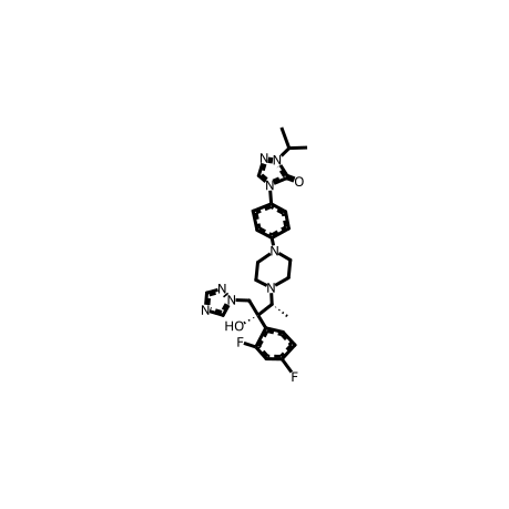 CC(C)n1ncn(-c2ccc(N3CCN([C@H](C)[C@](O)(Cn4cncn4)c4ccc(F)cc4F)CC3)cc2)c1=O